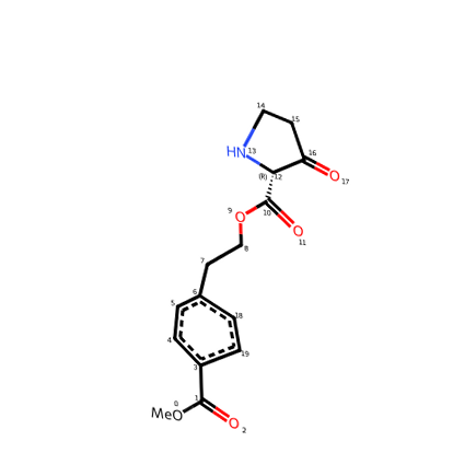 COC(=O)c1ccc(CCOC(=O)[C@@H]2NCCC2=O)cc1